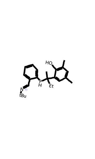 CCC(C)(Pc1ccccc1/C=N/C(C)(C)C)c1cc(C)cc(C)c1O